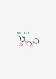 COc1cc(CN)ccc1OCC(=O)N1CCCCC1.Cl